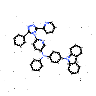 c1ccc(-c2nnc(-c3ccccn3)n2-c2ccc(N(c3ccccc3)c3ccc(-n4c5ccccc5c5ccccc54)cc3)cn2)cc1